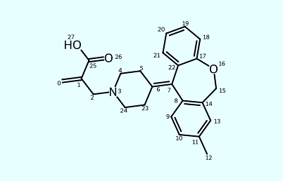 C=C(CN1CCC(=C2c3ccc(C)cc3COc3ccccc32)CC1)C(=O)O